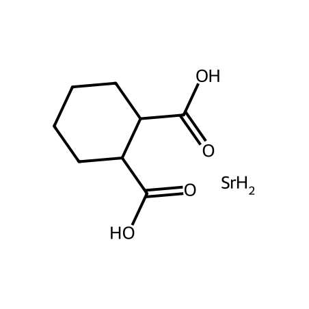 O=C(O)C1CCCCC1C(=O)O.[SrH2]